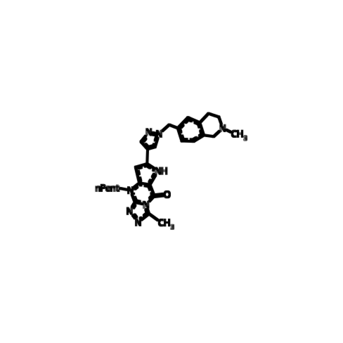 CCCCCn1c2cc(-c3cnn(Cc4ccc5c(c4)CCN(C)C5)c3)[nH]c2c(=O)n2c(C)nnc12